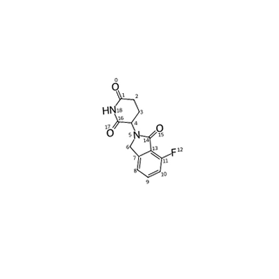 O=C1CCC(N2Cc3cccc(F)c3C2=O)C(=O)N1